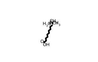 C[N+](C)(C)CCCCCCCCCC(=O)O